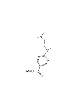 COC(=O)c1ccc(N(C)CCN(C)C)cc1